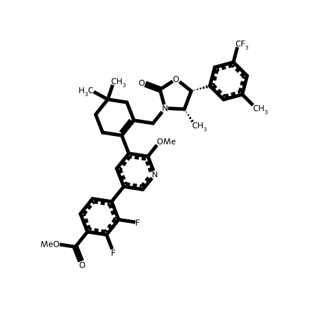 COC(=O)c1ccc(-c2cnc(OC)c(C3=C(CN4C(=O)O[C@H](c5cc(C)cc(C(F)(F)F)c5)[C@@H]4C)CC(C)(C)CC3)c2)c(F)c1F